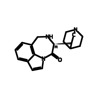 O=C1[C@@H](C2CN3CCC2CC3)NCc2cccc3ccn1c23